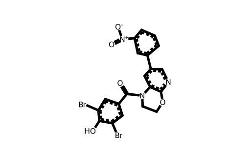 O=C(c1cc(Br)c(O)c(Br)c1)N1CCOc2ncc(-c3cccc([N+](=O)[O-])c3)cc21